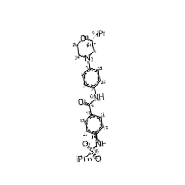 CC(C)[C@@H]1CN(c2ccc(NC(=O)c3ccc(NS(=O)(=O)C(C)C)cc3)cc2)CCO1